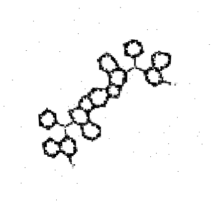 CC(C)c1ccc(N(c2ccccc2)c2cc3oc4cc5c(cc4c3c3ccccc23)oc2cc(N(c3ccccc3)c3ccc(C(C)C)c4ccccc34)c3ccccc3c25)c2ccccc12